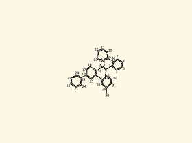 C/C(=C\c1ccccc1-c1ccccn1)c1ccc(-c2ccccc2)cc1-c1cc(C)ccn1